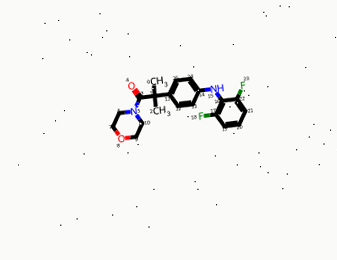 CC(C)(C(=O)N1CCOCC1)c1ccc(Nc2c(F)cccc2F)cc1